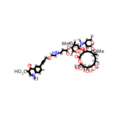 CC[C@H]1OC(=O)[C@H](C)[C@@H](OC2C[C@@](C)(OC)[C@@H](OC(=O)CCNCCOCC#Cc3ccc4c(c3)c(=O)c(C(=O)O)cn4CC)[C@H](C)O2)[C@H](C)[C@@H](OC2O[C@H](C)C[C@H](N(C)C)[C@H]2O)[C@](C)(OC)C[C@@H](C)C(=O)[C@H](C)[C@@H](O)[C@]1(C)O